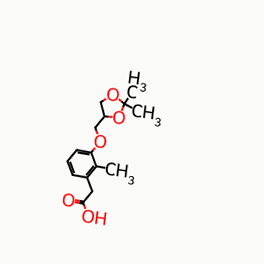 Cc1c(CC(=O)O)cccc1OCC1COC(C)(C)O1